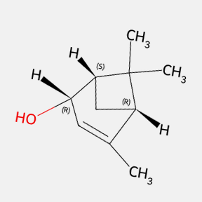 CC1=C[C@H](O)[C@H]2C[C@@H]1C2(C)C